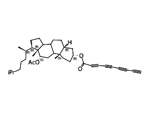 C#CC#CC#CC#CC(=O)O[C@@H]1CC[C@]2(C)C3C[C@H](OC(C)=O)[C@@]4(C)C(CC[C@@H]4[C@H](C)CCCC(C)C)C3CC[C@@H]2C1